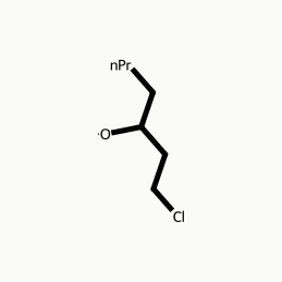 CCCCC([O])CCCl